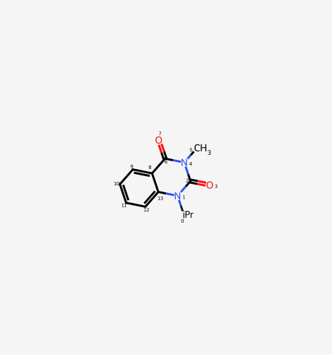 CC(C)n1c(=O)n(C)c(=O)c2ccccc21